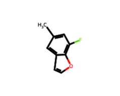 Cc1cc(F)c2occc2c1